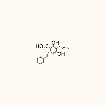 CC(C)=CCc1c(O)cc(/C=C/c2ccccc2)c(C(=O)O)c1O